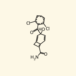 NC(=O)C1=C2C=CC(O)(C(=O)c3c(Cl)cccc3Cl)C=C2C1